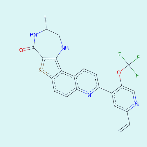 C=Cc1cc(-c2ccc3c(ccc4sc5c(c43)NC[C@@H](C)NC5=O)n2)c(OC(F)(F)F)cn1